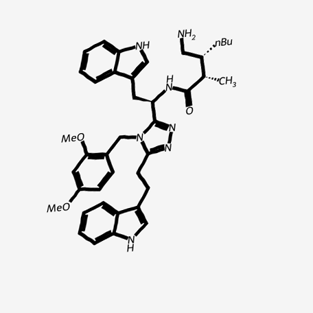 CCCC[C@@H](CN)[C@H](C)C(=O)N[C@H](Cc1c[nH]c2ccccc12)c1nnc(CCc2c[nH]c3ccccc23)n1Cc1ccc(OC)cc1OC